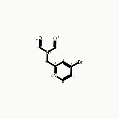 O=CN(C=O)Cc1cc(Br)ccn1